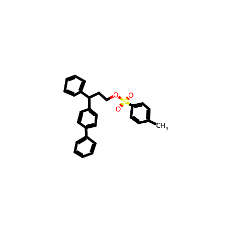 Cc1ccc(S(=O)(=O)OCCC(c2ccccc2)c2ccc(-c3ccccc3)cc2)cc1